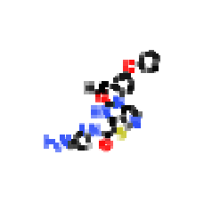 Cc1cc(Oc2ccccc2)ccc1N1C(=O)Nc2c(C(=O)NC3CC[C@@H](N)C3)sc3nccc1c23